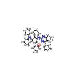 c1ccc(-c2nc(-n3c4ccccc4c4c3c3oc5ccccc5c3c3c5ccccc5n(-c5ccccc5)c34)nc3ccccc23)cc1